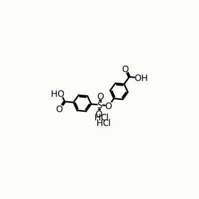 Cl.Cl.O=C(O)c1ccc(OS(=O)(=O)c2ccc(C(=O)O)cc2)cc1